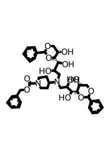 O=C(OCc1ccccc1)N1CCC(N(CC(O)C(O)[C@@H]2OC(c3ccccc3)OC[C@H]2O)CC(O)C(O)[C@@H]2OC(c3ccccc3)OC[C@H]2O)CC1